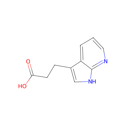 O=C(O)CCc1c[nH]c2ncccc12